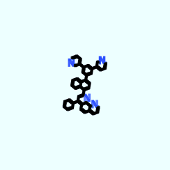 c1ccc(-c2cc(-c3ccc(-c4cc(-c5cccnc5)cc(-c5cccnc5)c4)c4ccccc34)nc3c2ccc2cccnc23)cc1